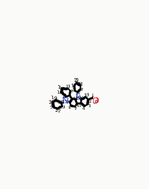 O=Cc1ccc2c3ccc4c(c5ccccc5n4-c4ccccc4)c3n(-c3ccccc3)c2c1